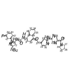 CCCCc1cc(NC(=O)Nc2ccc(OCc3ccnc(Nc4cnc(C(=O)N5CCCC5)cn4)c3)c3ccccc23)n(-c2cccc(F)c2)n1